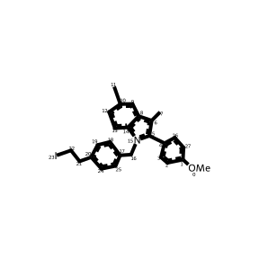 COc1ccc(-c2c(C)c3cc(C)ccc3n2Cc2ccc(CCI)cc2)cc1